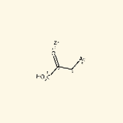 CC(=O)CC(=O)C(=O)O.[Zr]